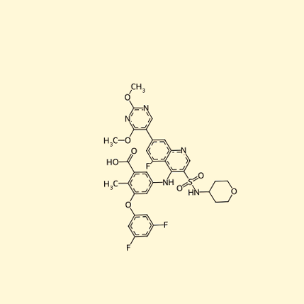 COc1ncc(-c2cc(F)c3c(Nc4cc(Oc5cc(F)cc(F)c5)c(C)c(C(=O)O)c4)c(S(=O)(=O)NC4CCOCC4)cnc3c2)c(OC)n1